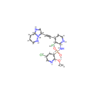 COc1ncc(Cl)cc1S(=O)(=O)Nc1nccc(C#Cc2cnc3cccnn23)c1F